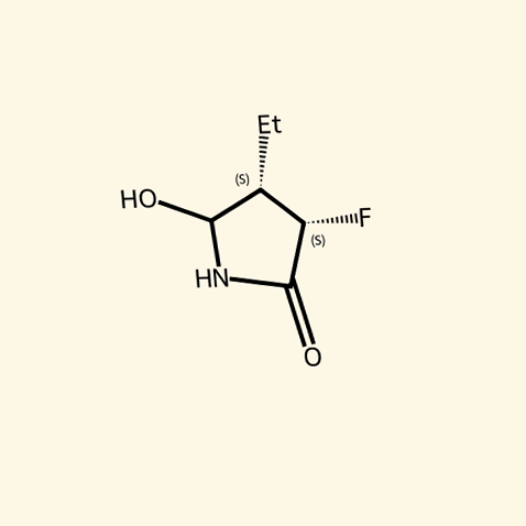 CC[C@H]1C(O)NC(=O)[C@H]1F